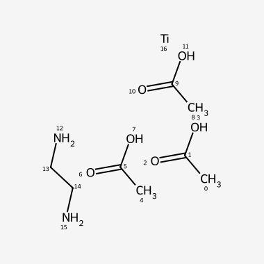 CC(=O)O.CC(=O)O.CC(=O)O.NCCN.[Ti]